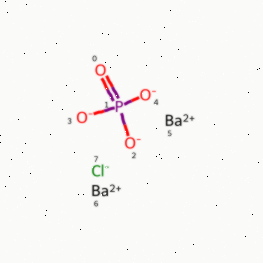 O=P([O-])([O-])[O-].[Ba+2].[Ba+2].[Cl-]